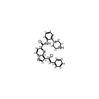 O=C(Nc1ccccc1N1CCNCC1)c1ccn2ncc(/C(Cl)=C/c3ccccc3)c2n1